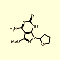 COc1nn(C2CCCO2)c2[nH]c(=O)nc(N)c12